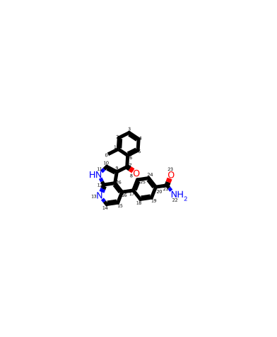 Cc1ccccc1C(=O)c1c[nH]c2nccc(-c3ccc(C(N)=O)cc3)c12